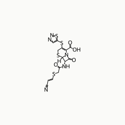 N#CC=CSCC(=O)N[C@@H]1C(=O)N2C(C(=O)O)=C(Sc3cnns3)CS[C@@H]12